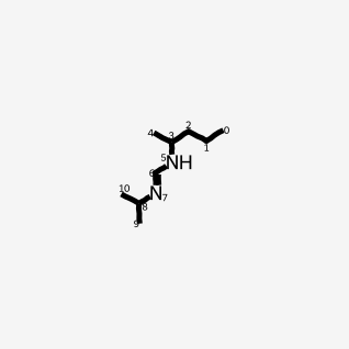 CCCC(C)NC=NC(C)C